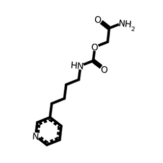 NC(=O)COC(=O)NCCCCc1cccnc1